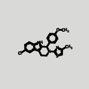 COc1ccc(C2c3[nH]c4ccc(Cl)cc4c3CCN2c2nc(C)cs2)cc1